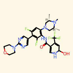 C[C@@H]1CN(c2cc(F)c(-c3cnc(N4CCOCC4)nc3)c(F)c2NC(=O)C2=CNC(O)C=C2C(F)(F)F)C[C@H](C)N1C